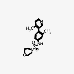 Cc1cc(NS(=O)(=O)N2CCOCC2)ccc1-c1cnccc1C